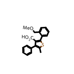 COCc1ccccc1-c1sc(C)c(-c2ccccc2)c1C(=O)O